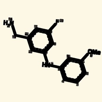 COc1cccc(Nc2cc(F)cc(CN)c2)c1